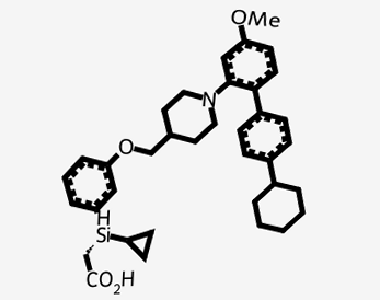 COc1ccc(-c2ccc(C3CCCCC3)cc2)c(N2CCC(COc3cccc([Si@@H](CC(=O)O)C4CC4)c3)CC2)c1